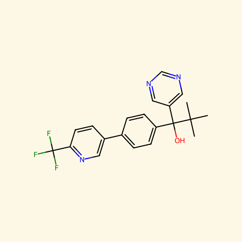 CC(C)(C)C(O)(c1ccc(-c2ccc(C(F)(F)F)nc2)cc1)c1cncnc1